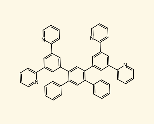 c1ccc(-c2cc(-c3ccccc3)c(-c3cc(-c4ccccn4)cc(-c4ccccn4)c3)cc2-c2cc(-c3ccccn3)cc(-c3ccccn3)c2)cc1